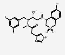 CCc1ccc2c(c1)[C@@H](NC[C@@H](O)[C@H](Cc1cc(F)cc(F)c1)N(C)C(=O)Cc1c[nH]cn1)CS(=O)(=O)C2